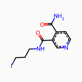 NC(=O)c1ccncc1C(=O)NCCCI